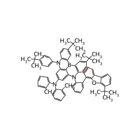 Cc1ccccc1N(c1cc2c3c(c1)N(c1ccccc1-c1cccc4c1oc1c(C(C)(C)C)cccc14)c1ccc(C(C)(C)C)cc1B3c1cc(C(C)(C)C)ccc1N2c1ccc(C(C)(C)C)cc1)c1ccccc1C